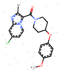 CCc1nc2cc(Cl)ccn2c1C(=O)N1CCC(Oc2ccc(OC(F)(F)F)cc2)CC1